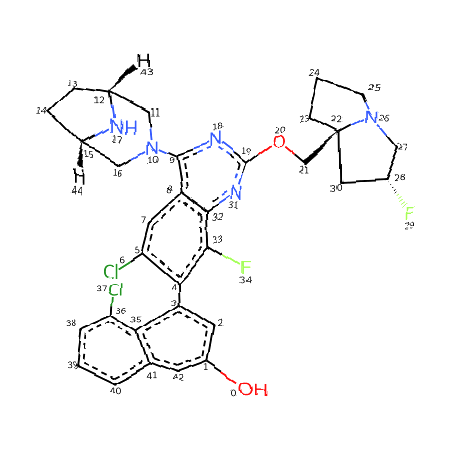 Oc1cc(-c2c(Cl)cc3c(N4C[C@H]5CC[C@@H](C4)N5)nc(OC[C@@]45CCCN4C[C@H](F)C5)nc3c2F)c2c(Cl)cccc2c1